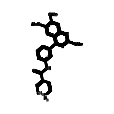 C/C=C\C(=C/C)C(=O)Nc1cccc(-c2nc(NC)nc3cc(OC)c(OC)cc23)c1